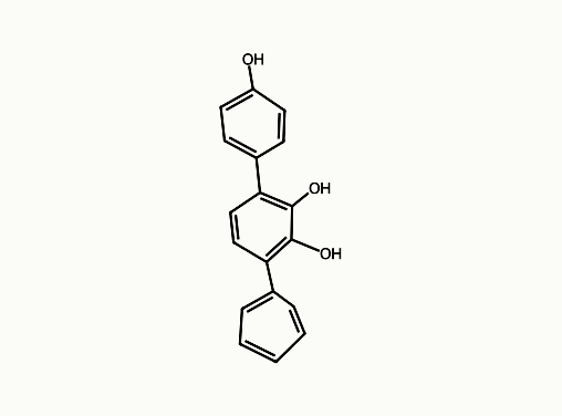 Oc1ccc(-c2ccc(-c3ccccc3)c(O)c2O)cc1